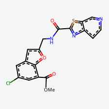 COC(=O)c1cc(Cl)cc2cc(CNC(=O)c3nc4ccncc4s3)oc12